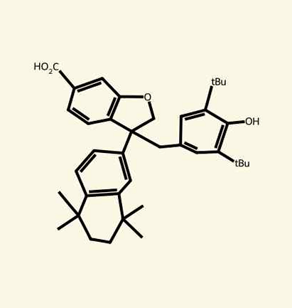 CC(C)(C)c1cc(CC2(c3ccc4c(c3)C(C)(C)CCC4(C)C)COc3cc(C(=O)O)ccc32)cc(C(C)(C)C)c1O